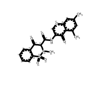 Cc1cc(C)c2c(=O)c(NC(=O)C3C(=O)c4ccccc4S(=O)(=O)N3C)coc2c1